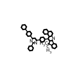 CC1(C)c2ccccc2-c2nc3ccc4ccccc4c3c(-c3ccc(-c4cc(-c5ccc(-c6ccccc6)cc5)nc(-c5ccccc5)n4)cc3)c21